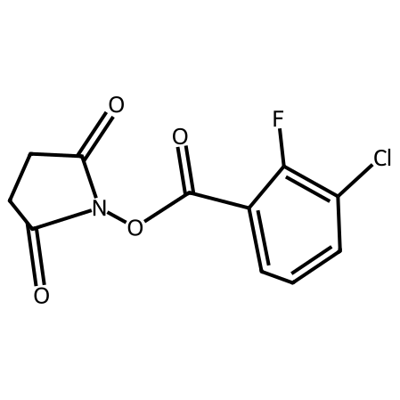 O=C(ON1C(=O)CCC1=O)c1cccc(Cl)c1F